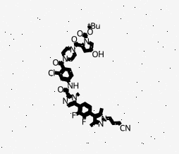 Cc1nn(CCCC#N)c(C)c1-c1ccc(-c2cnc(C(=O)Nc3ccc(C(=O)N4CCN(C(=O)C5CC(O)CN5C(=O)OC(C)(C)C)CC4)c(Cl)c3)n2C)c(F)c1F